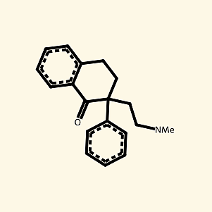 CNCCC1(c2ccccc2)CCc2ccccc2C1=O